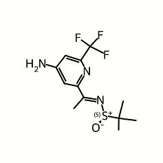 CC(=N[S@+]([O-])C(C)(C)C)c1cc(N)cc(C(F)(F)F)n1